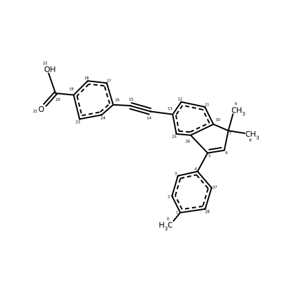 Cc1ccc(C2=CC(C)(C)c3ccc(C#Cc4ccc(C(=O)O)cc4)cc32)cc1